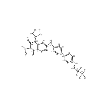 CC(=O)c1c(C)c2cnc(Nc3ccc(-c4ccc(CO[Si](C)(C)C(C)(C)C)cc4)cn3)nc2n(C2CCCC2)c1=O